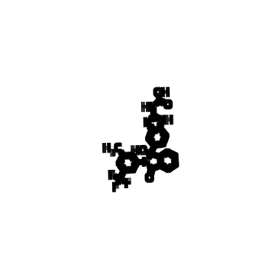 Cc1cc(N2C(=O)c3ccccc3C2(O)c2ccc3[nH]c(NC(=O)O)nc3c2)cc(C(F)(F)F)c1